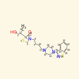 CC(CO)C1SCN(CCCCN2CCN(c3nsc4ccccc34)CC2)C1=O